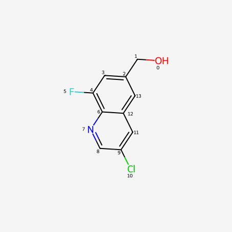 OCc1cc(F)c2ncc(Cl)cc2c1